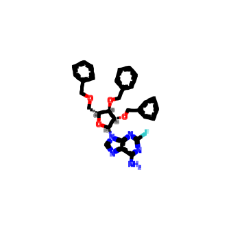 Nc1nc(F)nc2c1ncn2[C@@H]1O[C@H](COCc2ccccc2)[C@@H](OCc2ccccc2)[C@@H]1OCc1ccccc1